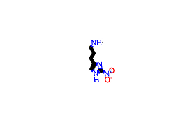 [NH]CCCc1c[nH]c([N+](=O)[O-])n1